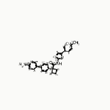 C=C/C=C\C(=C/C)c1csc(NC(=O)C2(c3ccc(-c4cnc(N)nc4)cc3)CCC2)n1